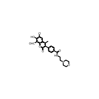 Cc1c(-c2ccc(C(=O)NCCN3CCOCC3)cc2)c(=O)oc2c(C=O)c(O)c(Cl)cc12